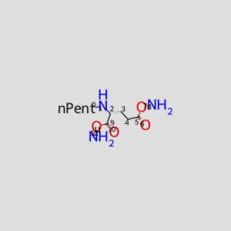 CCCCCN[C@H](CCC(=O)ON)C(=O)ON